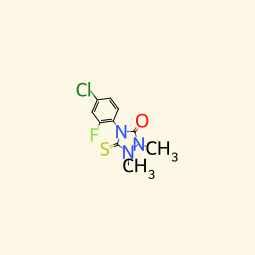 Cn1c(=O)n(-c2ccc(Cl)cc2F)c(=S)n1C